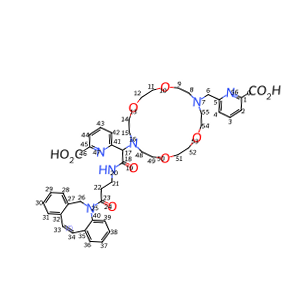 O=C(O)c1cccc(CN2CCOCCOCCN(C(C(=O)NCCC(=O)N3Cc4ccccc4/C=C\c4ccccc43)c3cccc(C(=O)O)n3)CCOCCOCC2)n1